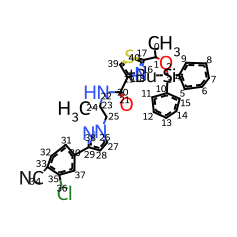 CC(O[Si](c1ccccc1)(c1ccccc1)C(C)(C)C)c1nc(C(=O)N[C@@H](C)Cn2ccc(-c3ccc(C#N)c(Cl)c3)n2)cs1